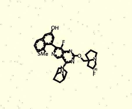 CSc1cccc2cc(O)cc(-c3ncc4c(N5CC6CCC(C5)N6)nc(OCC56CCCN5C[C@H](F)C6)nc4c3F)c12